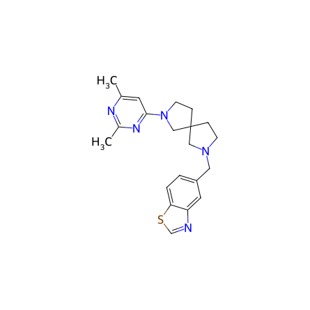 Cc1cc(N2CCC3(CCN(Cc4ccc5scnc5c4)C3)C2)nc(C)n1